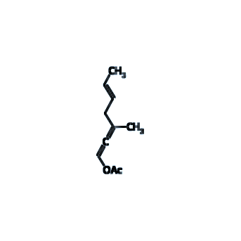 CC=CCC(C)=C=COC(C)=O